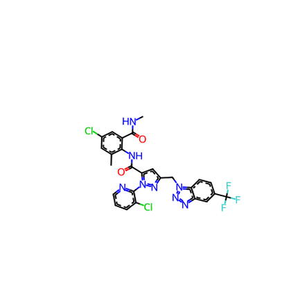 CNC(=O)c1cc(Cl)cc(C)c1NC(=O)c1cc(Cn2nnc3cc(C(F)(F)F)ccc32)nn1-c1ncccc1Cl